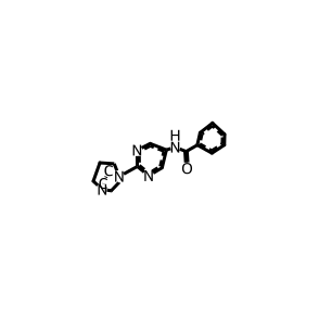 O=C(Nc1cnc(N2CCN3CCC2CC3)nc1)c1ccccc1